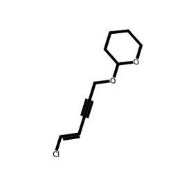 ClC=CC#CCOC1CCCCO1